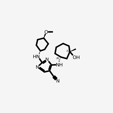 CO[C@H]1CC[C@H](Nc2ncc(C#N)c(N[C@@H]3CCCC[C@](C)(O)C3)n2)CC1